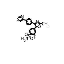 Cc1nc(-c2ccc(-c3cscn3)cc2)c(-c2ccc(S(N)(=O)=O)c(F)c2)o1